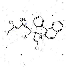 CC=CC(C)(C(C)/C=C(C)\C=C(\C)CC)C1CC=CC=C1c1nccc2ccccc12